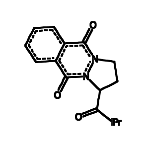 CC(C)C(=O)C1CCn2c(=O)c3ccccc3c(=O)n21